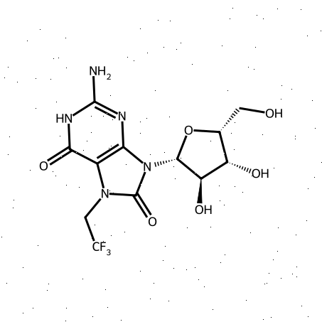 Nc1nc2c(c(=O)[nH]1)n(CC(F)(F)F)c(=O)n2[C@@H]1O[C@H](CO)[C@H](O)[C@H]1O